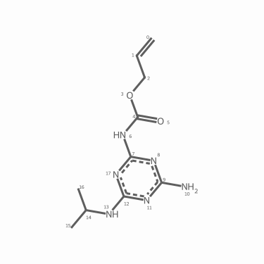 C=CCOC(=O)Nc1nc(N)nc(NC(C)C)n1